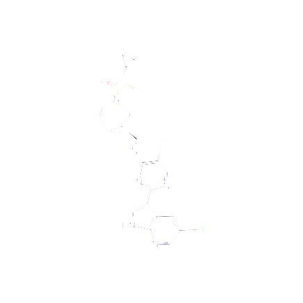 O=S(=O)(C1CC1)N1CCC[C@H](CNc2nc(-c3c[nH]c4ncc(Cl)cc34)ncc2F)C1